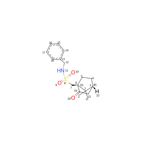 CC1(C)[C@@H]2CC[C@@]1(CS(=O)(=O)NCc1ccccc1)C(=O)C2